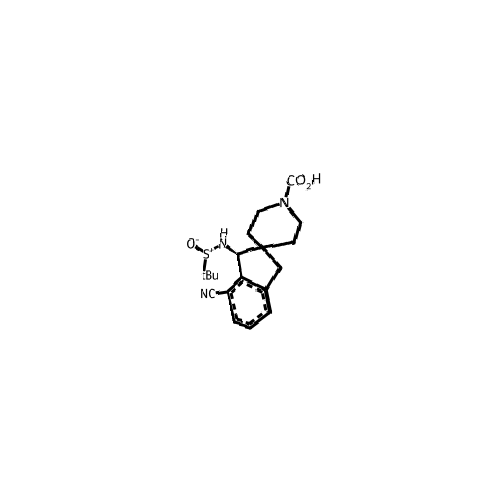 CC(C)(C)[S+]([O-])N[C@@H]1c2c(C#N)cccc2CC12CCN(C(=O)O)CC2